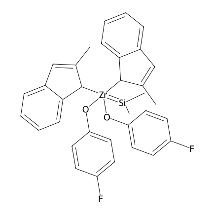 CC1=Cc2ccccc2[CH]1[Zr]([O]c1ccc(F)cc1)([O]c1ccc(F)cc1)([CH]1C(C)=Cc2ccccc21)=[Si](C)C